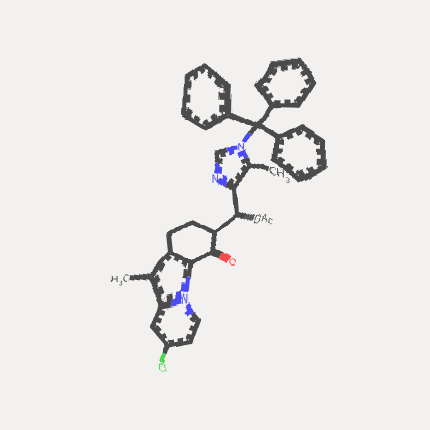 CC(=O)OC(c1ncn(C(c2ccccc2)(c2ccccc2)c2ccccc2)c1C)C1CCc2c(C)c3cc(Cl)ccn3c2C1=O